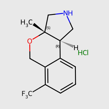 C[C@@]12CNC[C@H]1c1cccc(C(F)(F)F)c1CO2.Cl